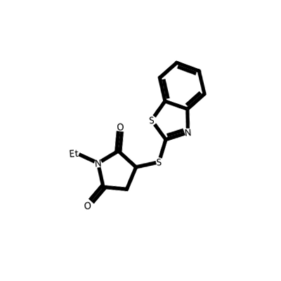 CCN1C(=O)CC(Sc2nc3ccccc3s2)C1=O